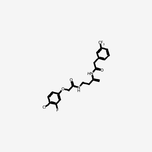 C=C(CCNC(=O)COc1ccc(Cl)c(F)c1)NC(=O)Cc1cccc(C(F)(F)F)c1